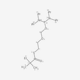 CCC(C)(C)C(=O)SCCOCOP(N(C(C)C)C(C)C)N(C(C)C)C(C)C